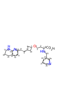 O=C(O)C(CCO[C@H]1C[C@H](CCc2ccc3c(n2)NCCC3)C1)NCc1cccnc1